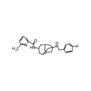 Cc1cccc(C(=O)NC2CC3CC4CC(NCc5ccc(F)cc5)(C3)CC4C2)n1